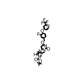 CC(C)(C)OC(=O)N1C[C@]23C[C@H]1CN2c1cc(OCc2ccc(Oc4ccnc(C(F)(F)F)c4)c(F)c2)nc(=O)n1C3